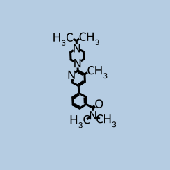 Cc1cc(-c2cccc(C(=O)N(C)C)c2)cnc1N1CCN(C(C)C)CC1